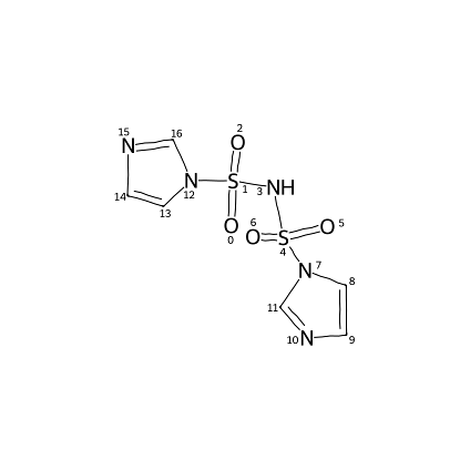 O=S(=O)(NS(=O)(=O)n1ccnc1)n1ccnc1